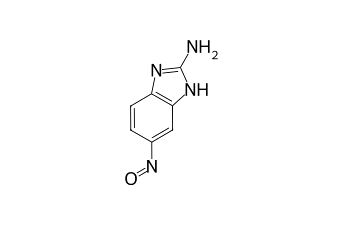 Nc1nc2ccc(N=O)cc2[nH]1